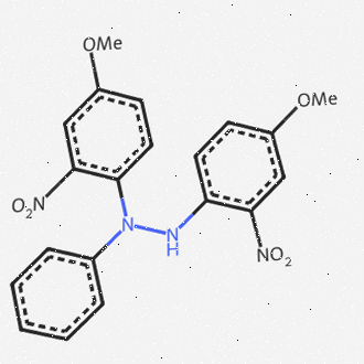 COc1ccc(NN(c2ccccc2)c2ccc(OC)cc2[N+](=O)[O-])c([N+](=O)[O-])c1